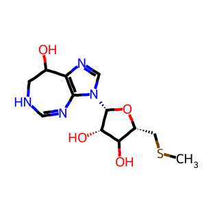 CSC[C@H]1O[C@@H](n2cnc3c2N=CNCC3O)[C@@H](O)C1O